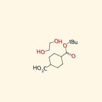 CC(C)(C)OC(=O)C1CCC(C(=O)O)CC1.OCCO